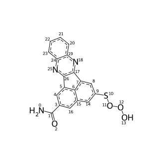 NC(=O)c1cc2c3c(cc(SOOO)cc3c1)-c1nc3ccccc3nc1-2